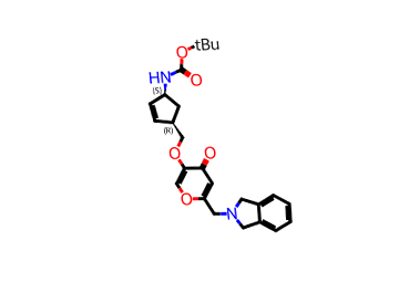 CC(C)(C)OC(=O)N[C@@H]1C=C[C@H](COc2coc(CN3Cc4ccccc4C3)cc2=O)C1